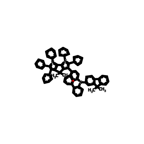 CC1(C)c2ccccc2-c2ccc(N(c3ccc(-c4c5c(n(-c6ccccc6)c4-c4ccccc4)-c4c(c(-c6ccccc6)c(-c6ccccc6)n4-c4ccccc4)C5(C)C)cc3)c3ccccc3-c3ccccc3)cc21